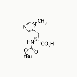 Cn1cncc1C[C@@H](NC(=O)OC(C)(C)C)C(=O)O